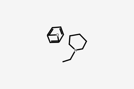 CCN1CCCCC1.c1cc2cc(c1)O2